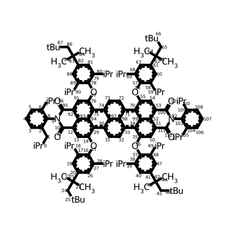 CC(C)Cc1cccc(C(C)C)c1N1C(=O)c2cc(Oc3c(C(C)C)cc(C(C)(C)CC(C)(C)C)cc3C(C)C)c3c4ccc5c6c(Oc7c(C(C)C)cc(C(C)(C)CC(C)(C)C)cc7C(C)C)cc7c8c(cc(Oc9c(C(C)C)cc(C(C)(C)CC(C)(C)C)cc9C(C)C)c(c9ccc(c%10c(Oc%11c(C(C)C)cc(C(C)(C)CC(C)(C)C)cc%11C(C)C)cc(c2c3%10)C1=O)c4c59)c86)C(=O)N(c1c(C(C)C)cccc1C(C)C)C7=O